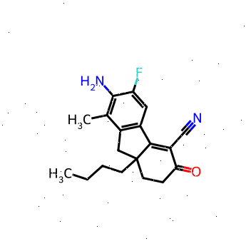 CCCCC12CCC(=O)C(C#N)=C1c1cc(F)c(N)c(C)c1C2